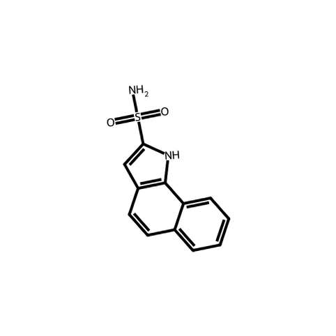 NS(=O)(=O)c1cc2ccc3ccccc3c2[nH]1